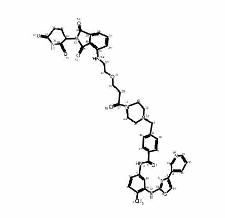 Cc1ccc(NC(=O)c2ccc(CN3CCN(C(=O)CCOCCNc4cccc5c4C(=O)N(C4CCC(=O)NC4=O)C5=O)CC3)cc2)cc1Nc1nc(-c2cccnc2)cs1